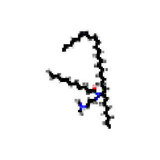 CCCCC/C=C\C/C=C\CCCCCCCCCCC(CCCCCCC)N(CCCN(C)C)C(=O)CCCCCCCCCC